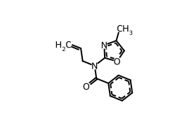 C=CCN(C(=O)c1ccccc1)c1nc(C)co1